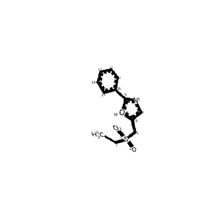 CCS(=O)(=O)Cc1cnc(-c2ccccc2)o1